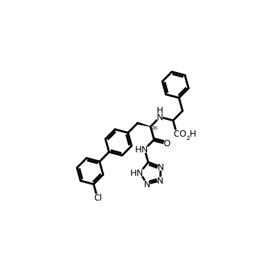 O=C(O)C(Cc1ccccc1)N[C@H](Cc1ccc(-c2cccc(Cl)c2)cc1)C(=O)Nc1nnn[nH]1